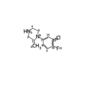 CC1CNCCN1c1ccc(F)c(Cl)c1